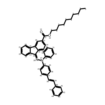 CCCCCCCCCCOC(=O)c1ccc2c(c1)-c1ccccc1/C2=N/N(c1ccccc1)c1ccc(/C=C/c2ccccc2)cc1